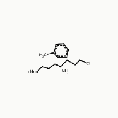 CCCCCCCCCCCCCCCCCl.Cc1ccccc1.N